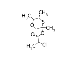 CC(Cl)C(=O)OC1(C)COC(C)C(C)S1